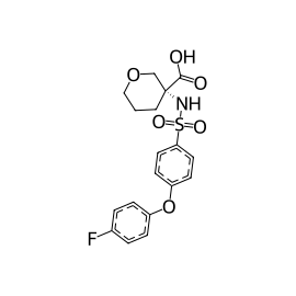 O=C(O)[C@@]1(NS(=O)(=O)c2ccc(Oc3ccc(F)cc3)cc2)CCCOC1